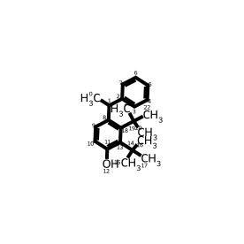 CC(c1ccccc1)c1ccc(O)c(C(C)(C)C)c1C(C)(C)C